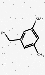 CSc1cc(C)cc(CC(C)C)c1